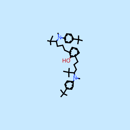 CN(c1ccc(C(C)(C)C)cc1)C(CCCc1cccc(CCCC(N(C)c2ccc(C(C)(C)C)cc2)C(C)(C)C)c1O)C(C)(C)C